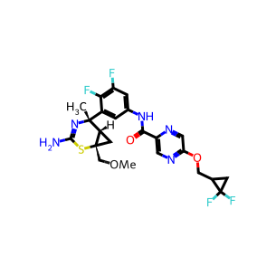 COC[C@]12C[C@H]1[C@@](C)(c1cc(NC(=O)c3cnc(OCC4CC4(F)F)cn3)cc(F)c1F)N=C(N)S2